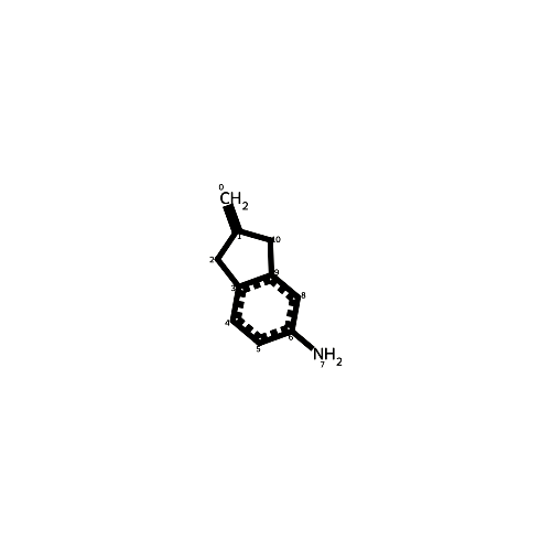 C=C1Cc2ccc(N)cc2C1